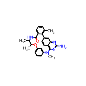 CNc1nc(N)nc2cc(-c3c(C)cccc3C(=O)NC(C)C(C)Oc3ccccc3)ccc12